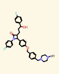 CCCN1CCN(Cc2ccc(COc3ccc(C4C(CCC(O)c5ccc(F)cc5)C(=O)N4c4ccc(F)cc4)cc3)cc2)CC1